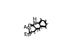 CCN(Cc1cc2ccccc2[nH]c1=O)C(C)=O